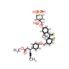 CC#C[C@@H](CC(=O)OC)c1ccc(OCc2ccc3scc(-c4ccc(OCC5(O)CCS(O)(O)CC5)cc4C)c3c2)cc1